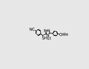 CCn1c(-c2ccc(OC)cc2)nnc1C(S)c1ccc(C#N)cc1